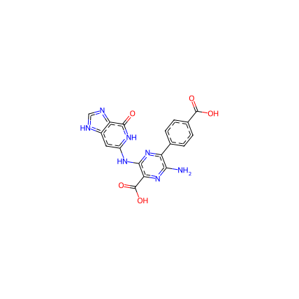 Nc1nc(C(=O)O)c(Nc2cc3[nH]cnc3c(=O)[nH]2)nc1-c1ccc(C(=O)O)cc1